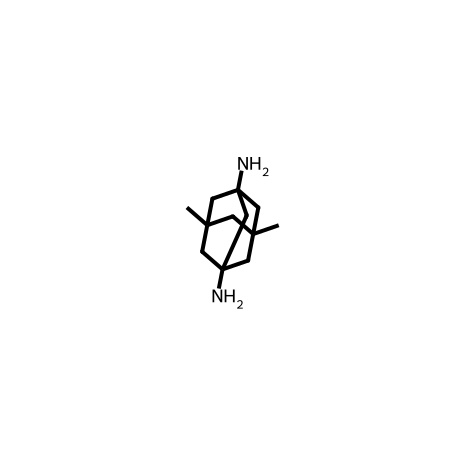 CC12CC3(C)CC(N)(C1)CC(N)(C2)C3